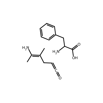 CC(N)=C(C)CC=C=O.NC(Cc1ccccc1)C(=O)O